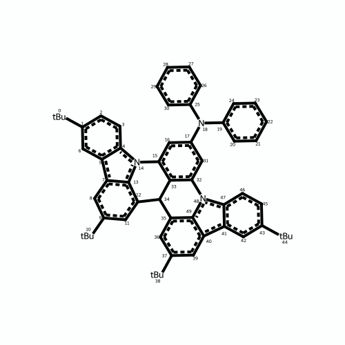 CC(C)(C)c1ccc2c(c1)c1cc(C(C)(C)C)cc3c1n2-c1cc(N(c2ccccc2)c2ccccc2)cc2c1C3c1cc(C(C)(C)C)cc3c4cc(C(C)(C)C)ccc4n-2c13